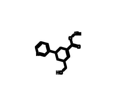 CC(C)(C)OC(=O)C1=CC(CO)CC(c2cccnc2)C1